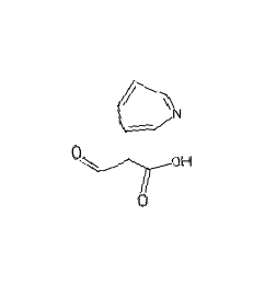 O=CCC(=O)O.c1ccncc1